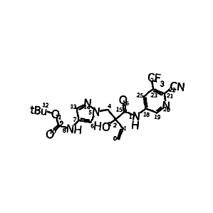 C=CC(O)(Cn1cc(NC(=O)OC(C)(C)C)cn1)C(=O)Nc1cnc(C#N)c(C(F)(F)F)c1